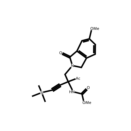 COC(=O)NC(C#C[Si](C)(C)C)(CN1Cc2ccc(OC)cc2C1=O)C(C)=O